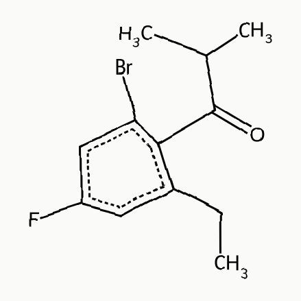 CCc1cc(F)cc(Br)c1C(=O)C(C)C